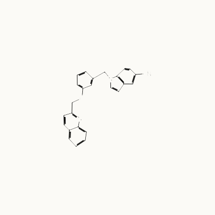 N#Cc1ccc2c(ccn2Cc2cccc(OCc3ccc4ccccc4n3)c2)c1